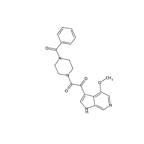 COc1cncc2[nH]cc(C(=O)C(=O)N3CCN(C(=O)c4ccccc4)CC3)c12